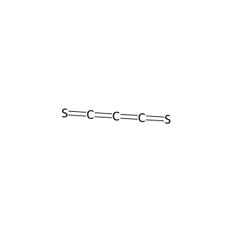 S=C=C=C=S